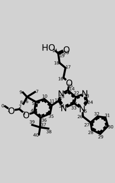 COCOc1c(C(C)(C)C)cc(-c2nc(OCCCC(=O)O)c3ncn(Cc4ccccc4)c3n2)cc1C(C)(C)C